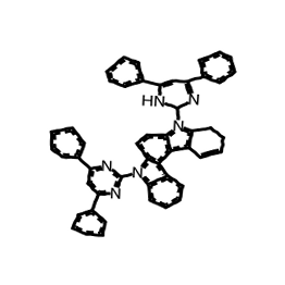 C1=Cc2c(n(C3N=C(c4ccccc4)C=C(c4ccccc4)N3)c3ccc4c(c5ccccc5n4-c4nc(-c5ccccc5)cc(-c5ccccc5)n4)c23)CC1